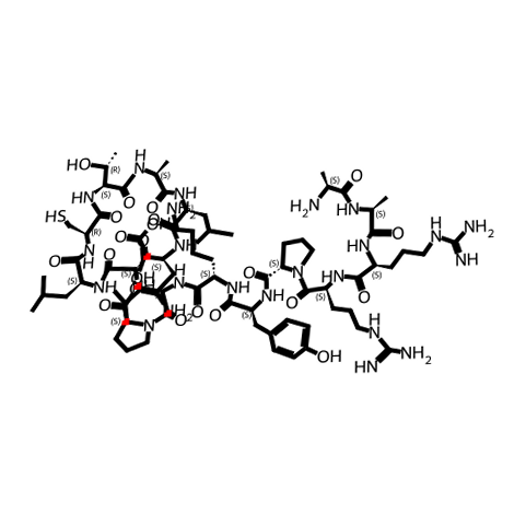 CC(C)C[C@H](NC(=O)[C@H](C)NC(=O)[C@@H](NC(=O)[C@H](CS)NC(=O)[C@H](CC(C)C)NC(=O)[C@H](CC(=O)O)NC(=O)[C@@H]1CCCN1C(=O)[C@H](CC(C)C)NC(=O)[C@H](CCCCN)NC(=O)[C@H](Cc1ccc(O)cc1)NC(=O)[C@@H]1CCCN1C(=O)[C@H](CCCNC(=N)N)NC(=O)[C@H](CCCNC(=N)N)NC(=O)[C@H](C)NC(=O)[C@H](C)N)[C@@H](C)O)C(=O)N[C@@H](CC(N)=O)C(=O)O